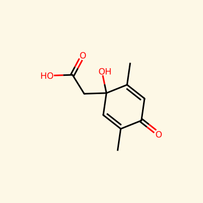 CC1=CC(O)(CC(=O)O)C(C)=CC1=O